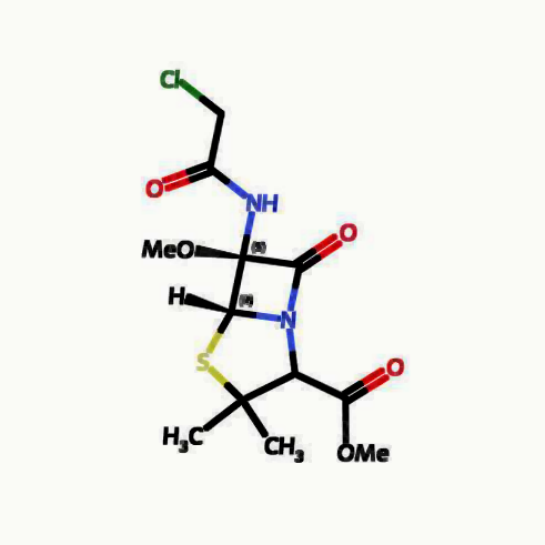 COC(=O)C1N2C(=O)[C@](NC(=O)CCl)(OC)[C@H]2SC1(C)C